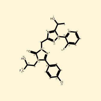 CC(O)c1nc(Cn2nc(-c3ccc(Cl)cc3)n(CC(O)C(F)(F)F)c2=O)nn1-c1ncccc1F